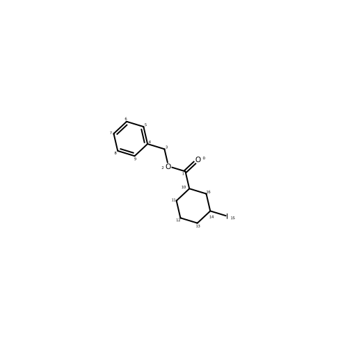 O=C(OCc1ccccc1)C1CCCC(I)C1